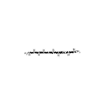 CCNCCCCNCCCCNCCCCNCCCCNCC=CCNCCCCNCCCCNCCCCNCCCCNCC